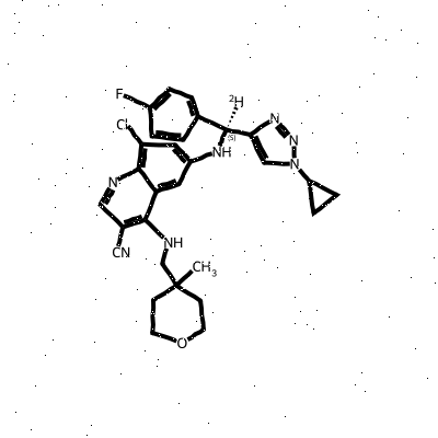 [2H][C@](Nc1cc(Cl)c2ncc(C#N)c(NCC3(C)CCOCC3)c2c1)(c1ccc(F)cc1)c1cn(C2CC2)nn1